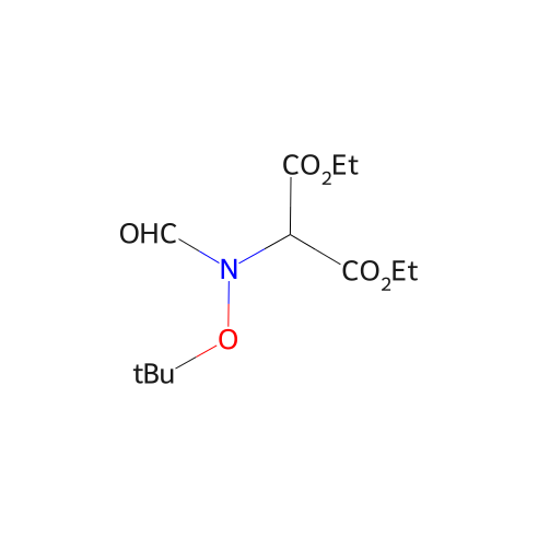 CCOC(=O)C(C(=O)OCC)N(C=O)OC(C)(C)C